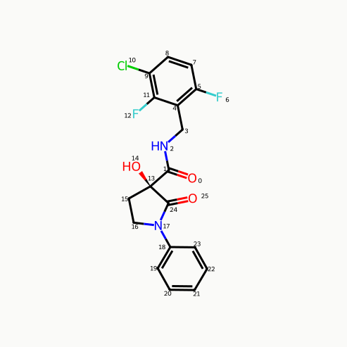 O=C(NCc1c(F)ccc(Cl)c1F)[C@@]1(O)CCN(c2ccccc2)C1=O